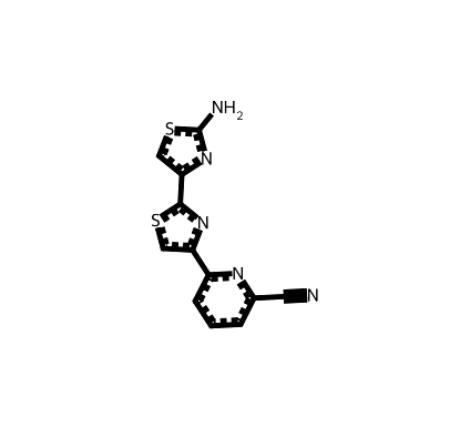 N#Cc1cccc(-c2csc(-c3csc(N)n3)n2)n1